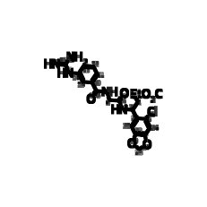 CCOC(=O)CC(NC(=O)CNC(=O)c1cccc(NC(=N)N)c1)c1cc2c(cc1Cl)OCO2